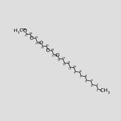 CCCCCCCCCCCCCCCCOCCOCCOCCOCCOC